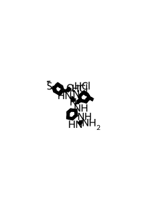 CSc1ccc(C(=O)Nc2nc(N[C@H]3CCCC[C@H]3NC(=N)N)c3cc(C)ccc3n2)cc1.Cl.Cl